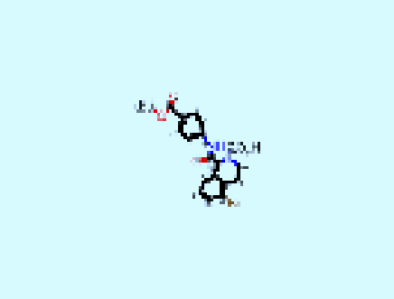 CC(C)(C)OC(=O)c1ccc(NC(=O)C2c3cccc(Br)c3CCN2C(=O)O)cc1